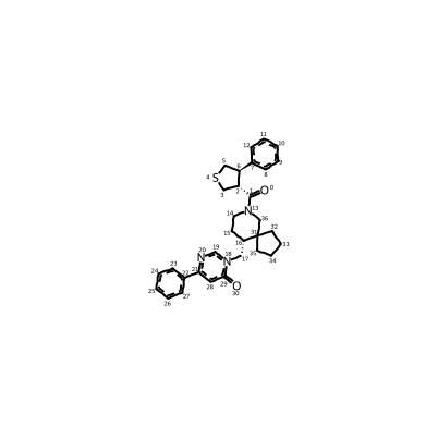 O=C([C@@H]1CSC[C@H]1c1ccccc1)N1CC[C@@H](Cn2cnc(-c3ccccc3)cc2=O)C2(CCCC2)C1